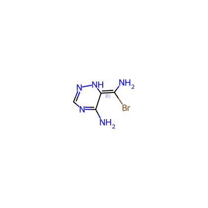 NC1=NC=NN/C1=C(\N)Br